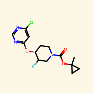 CC1(OC(=O)N2CC[C@H](Oc3cc(Cl)ncn3)C(F)C2)CC1